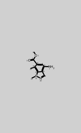 COC(=O)c1cc(N)c2cnn(C)c2c1C